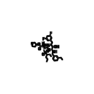 CCCC(CC)S(=O)(=O)C[C@H](NC(=O)O[C@H]1CCSC1)C(=O)N[C@@H](Cc1cc(F)cc(F)c1)[C@H](O)CNCc1cccc(CC)c1